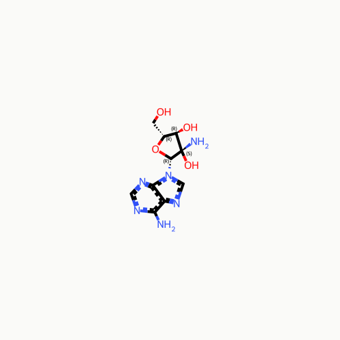 Nc1ncnc2c1ncn2[C@@H]1O[C@H](CO)[C@@H](O)[C@]1(N)O